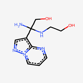 NC(CO)(NCCO)c1cnn2cccnc12